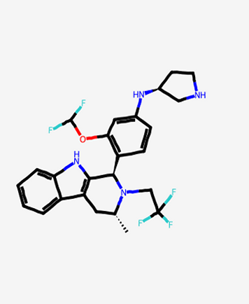 C[C@@H]1Cc2c([nH]c3ccccc23)[C@@H](c2ccc(N[C@H]3CCNC3)cc2OC(F)F)N1CC(F)(F)F